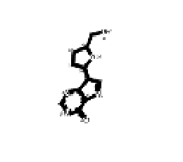 O=c1[nH]cnc2c1N=CC2C1CCC(CO)O1